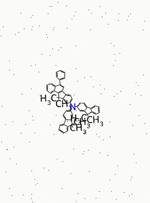 CC1(C)c2ccccc2-c2ccc(N(c3ccc4c(c3)C(C)(C)c3ccccc3-4)c3ccc4c(c3)C(C)(C)c3c-4cc(-c4ccccc4)c4ccccc34)cc21